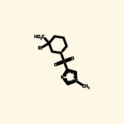 CCC1(C(=O)O)CCCN(S(=O)(=O)c2cn(C)cn2)C1